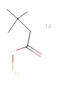 CC(C)(C)[C@H](N)C(=O)OS